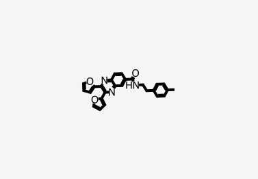 Cc1ccc(CCNC(=O)c2ccc3nc(-c4ccco4)c(-c4ccco4)nc3c2)cc1